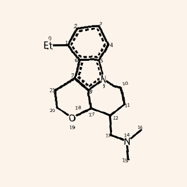 CCc1cccc2c1c1c3n2CCC(CN(C)C)C3(C)OCC1